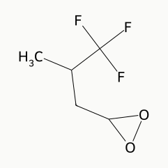 CC(CC1OO1)C(F)(F)F